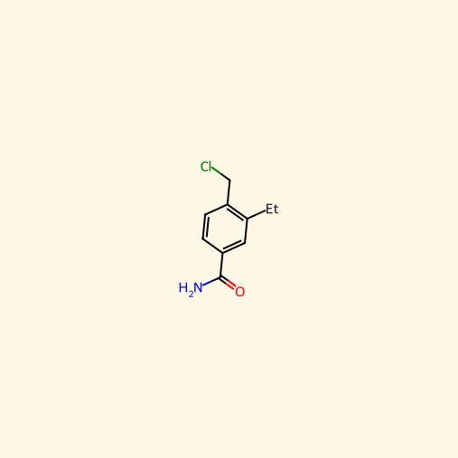 CCc1cc(C(N)=O)ccc1CCl